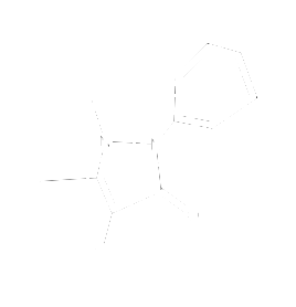 Cc1c([131I])c(=O)n(-c2ccccc2)n1C